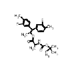 Cc1ccc(C(c2ccc(C)c(F)c2)[C@H](C)OC(=O)[C@H](C)NC(=O)OC(C)(C)C)cc1F